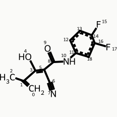 C=C(C)/C(O)=C(\C#N)C(=O)Nc1ccc(F)c(F)c1